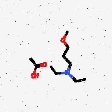 CC(=O)O.CCN(CC)CCCOC